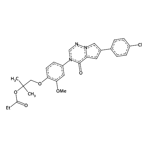 CCC(=O)OC(C)(C)COc1ccc(-n2cnn3cc(-c4ccc(Cl)cc4)cc3c2=O)cc1OC